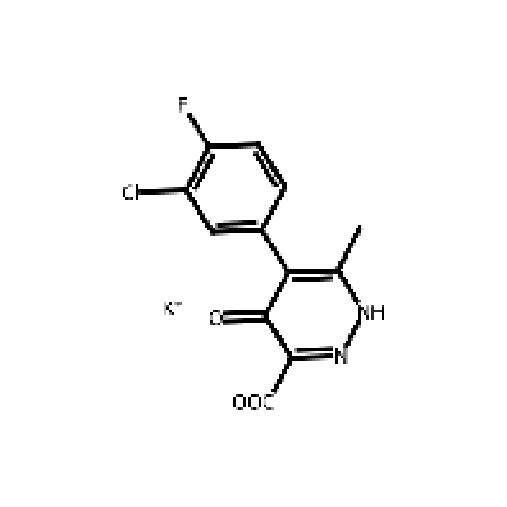 Cc1[nH]nc(C(=O)[O-])c(=O)c1-c1ccc(F)c(Cl)c1.[K+]